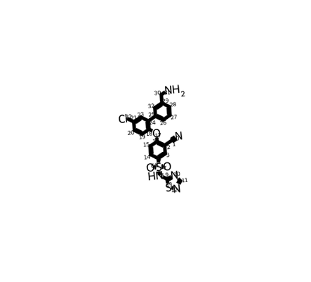 N#Cc1cc(S(=O)(=O)Nc2ncns2)ccc1Oc1ccc(Cl)cc1-c1cccc(CN)c1